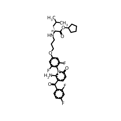 CC(C)C[C@@H](NCCCOc1cc(F)c(-n2c(N)c(C(=O)c3ccc(F)cc3F)ccc2=O)c(F)c1)C(=O)OC1CCCC1